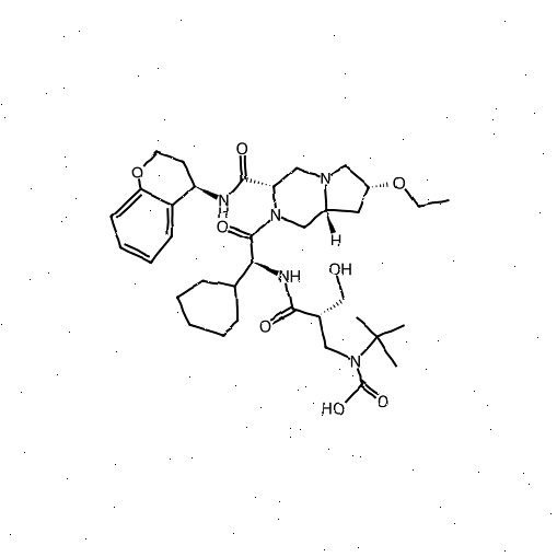 CCO[C@@H]1C[C@@H]2CN(C(=O)[C@@H](NC(=O)[C@H](CO)CN(C(=O)O)C(C)(C)C)C3CCCCC3)[C@H](C(=O)N[C@@H]3CCOc4ccccc43)CN2C1